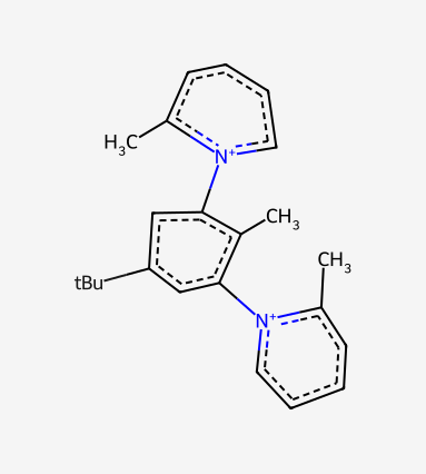 Cc1c(-[n+]2ccccc2C)cc(C(C)(C)C)cc1-[n+]1ccccc1C